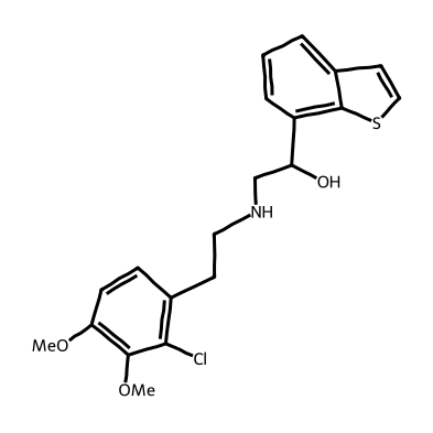 COc1ccc(CCNCC(O)c2cccc3ccsc23)c(Cl)c1OC